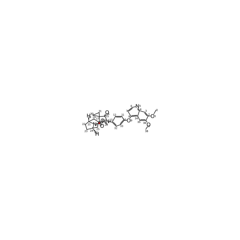 COc1cc2nccc(Oc3ccc(NC(=O)C4(C(=O)N5[C@@H]6CC[C@H]5C[C@@H](OC)C6)CC4)cc3)c2cc1OC